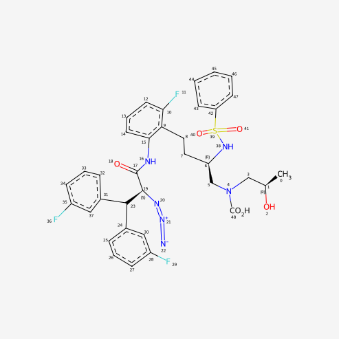 C[C@@H](O)CN(C[C@@H](CCc1c(F)cccc1NC(=O)[C@@H](N=[N+]=[N-])C(c1cccc(F)c1)c1cccc(F)c1)NS(=O)(=O)c1ccccc1)C(=O)O